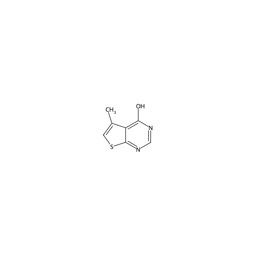 Cc1csc2ncnc(O)c12